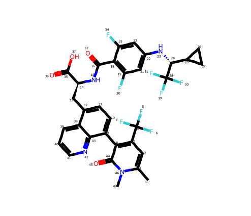 Cc1cc(C(F)(F)F)c(-c2ccc(C[C@H](NC(=O)c3c(F)cc(N[C@H](C4CC4)C(F)(F)F)cc3F)C(=O)O)c3cccnc23)c(=O)n1C